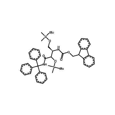 CC(C)(C)[Si](C)(C)OC[C@@H](NC(=O)OCC1c2ccccc2-c2ccccc21)C(O[Si](C)(C)C(C)(C)C)C(=O)NC(c1ccccc1)(c1ccccc1)c1ccccc1